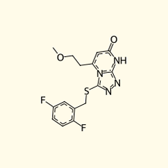 COCCc1cc(=O)[nH]c2nnc(SCc3cc(F)ccc3F)n12